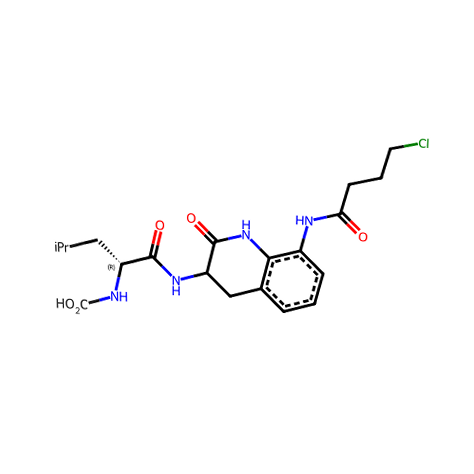 CC(C)C[C@@H](NC(=O)O)C(=O)NC1Cc2cccc(NC(=O)CCCCl)c2NC1=O